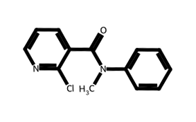 CN(C(=O)c1cccnc1Cl)c1ccccc1